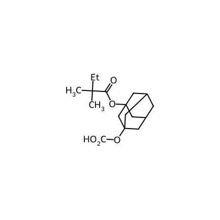 CCC(C)(C)C(=O)OC12CC3CC(CC(OC(=O)O)(C3)C1)C2